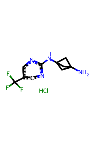 Cl.NC12CC(Nc3ncc(C(F)(F)F)cn3)(C1)C2